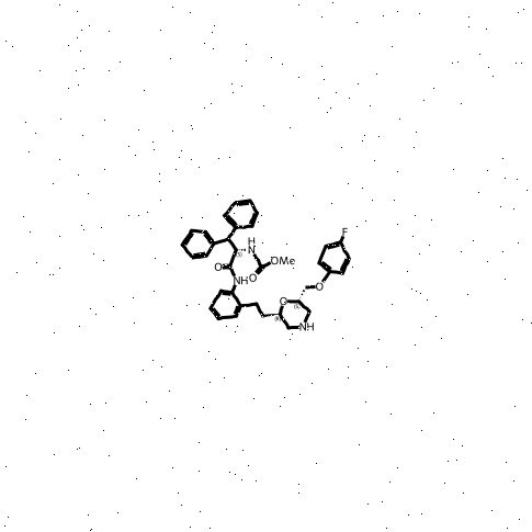 COC(=O)N[C@H](C(=O)Nc1ccccc1CC[C@@H]1CNC[C@@H](COc2ccc(F)cc2)O1)C(c1ccccc1)c1ccccc1